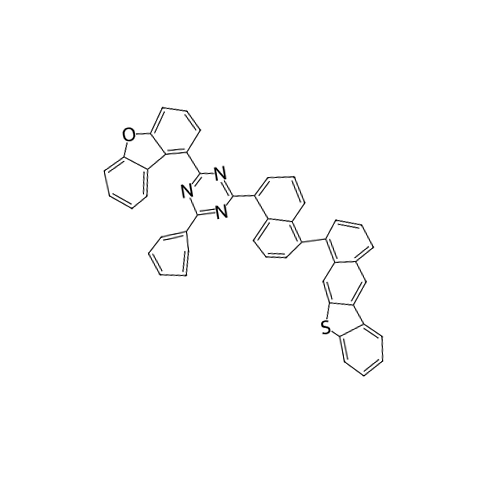 c1ccc(-c2nc(-c3cccc4c(-c5cccc6cc7c(cc56)sc5ccccc57)cccc34)nc(-c3cccc4oc5ccccc5c34)n2)cc1